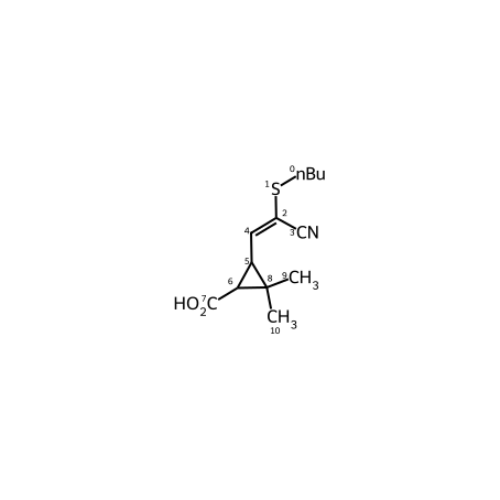 CCCCS/C(C#N)=C/C1C(C(=O)O)C1(C)C